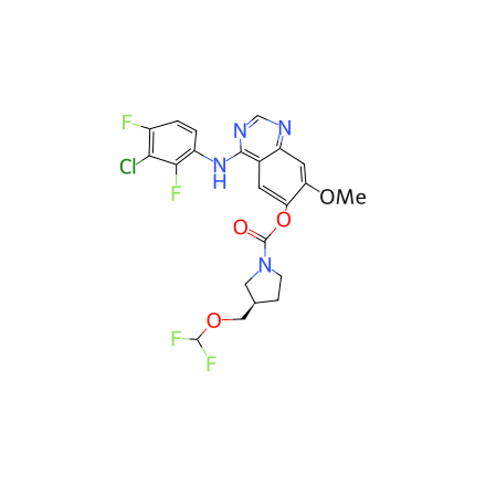 COc1cc2ncnc(Nc3ccc(F)c(Cl)c3F)c2cc1OC(=O)N1CC[C@@H](COC(F)F)C1